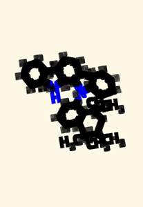 CC1CC(C)(C)c2c(-n3c4ccccc4c4ccc5c6ccccc6[nH]c5c43)cccc2C1(C)C